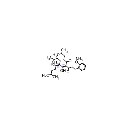 COc1ccccc1CCC(=O)/C(C(=O)CCC(C)C)=C(O)/C(CCC(C)C)=C(/O)CCC(C)C